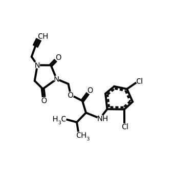 C#CCN1CC(=O)N(COC(=O)C(Nc2ccc(Cl)cc2Cl)C(C)C)C1=O